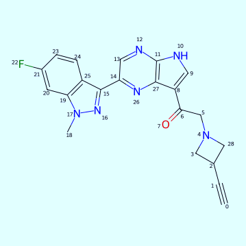 C#CC1CN(CC(=O)c2c[nH]c3ncc(-c4nn(C)c5cc(F)ccc45)nc23)C1